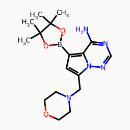 CC1(C)OB(c2cc(CN3CCOCC3)n3ncnc(N)c23)OC1(C)C